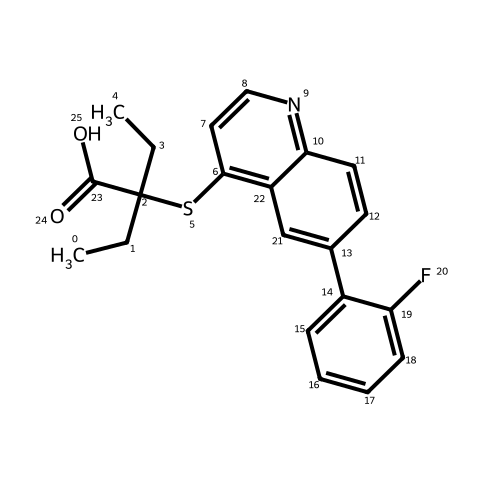 CCC(CC)(Sc1ccnc2ccc(-c3ccccc3F)cc12)C(=O)O